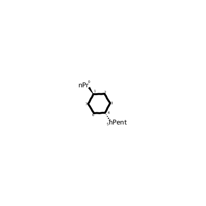 [CH2]CC[C@H]1CC[C@H](CCCCC)CC1